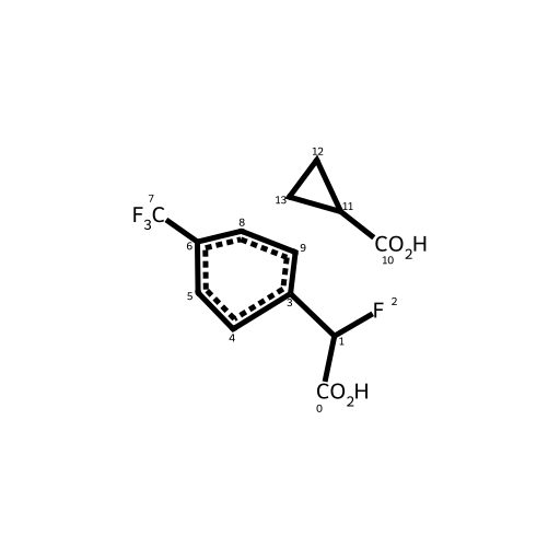 O=C(O)C(F)c1ccc(C(F)(F)F)cc1.O=C(O)C1CC1